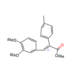 COC(=O)/C(=C/c1ccc(OC)c(OC)c1)c1ccc(C)cc1